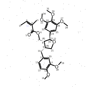 C/C=C(/C)C(=O)OC[C@H]1[C@@H](Cc2ccc(OC)c(OC)c2)CO[C@@H]1c1cc(OC)c(OC)c(OC)c1